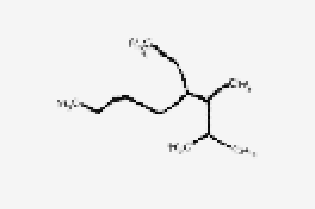 [CH2]C(C)C(C)C(CC)CCCC